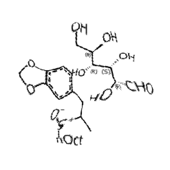 CCCCCCCC[S+]([O-])C(C)Cc1ccc2c(c1)OCO2.O=C[C@H](O)[C@@H](O)[C@H](O)[C@H](O)CO